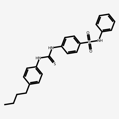 CCCCc1ccc(NC(=S)Nc2ccc(S(=O)(=O)Nc3ccccc3)cc2)cc1